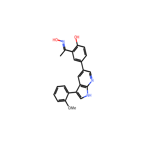 COc1ccccc1-c1c[nH]c2ncc(-c3ccc(O)c(/C(C)=N/O)c3)cc12